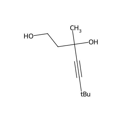 CC(C)(C)C#CC(C)(O)CCO